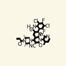 C=CC(=O)N1[C@H](C)CN(c2c(C#N)c(=O)n(-c3c(C)ccnc3C(C)C)c3nc(C4C(F)=C(Cl)C(F)=C(Cl)C4N)c(Cl)cc23)C[C@@H]1C